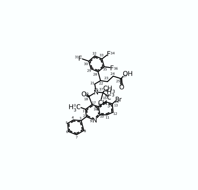 Cc1c(-c2ccccc2)nc2ccc(Br)cc2c1C(=O)N(CC(CCC(=O)O)c1cc(F)cc(F)c1F)C(C)(C)C